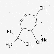 CCC(C)(C)c1ccc(C)cc1O.[Na]